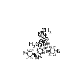 COc1cc2c(cnn2-c2ccc(F)cc2)cc1C1(Cc2ccc(F)cc2)CCN(S(=O)(=O)c2cnn(C)n2)C1